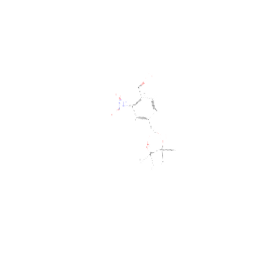 CC1(C)OB(c2ccc(C=O)c([N+](=O)[O-])c2)OC1(C)C